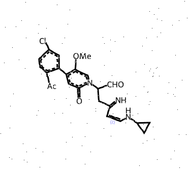 COc1cn(C(C=O)CC(=N)/C=C\NC2CC2)c(=O)cc1-c1cc(Cl)ccc1C(C)=O